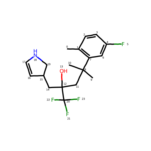 Cc1ccc(F)cc1C(C)(C)CC(O)(CC1C=CNC1)C(F)(F)F